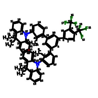 Cc1c(-c2cc(-c3ccc(C(F)(F)F)c(C(F)(F)F)c3)cc(-c3cccc(N4c5ccccc5C(C)(C)c5ccccc54)c3C)c2)cccc1N1c2ccccc2C(C)(C)c2ccccc21